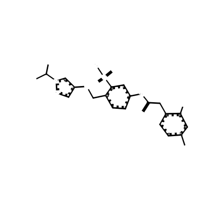 NS(=O)(=O)c1cc(NC(=O)Cc2ccc(F)cc2Cl)ccc1COc1cnn(C(F)F)c1